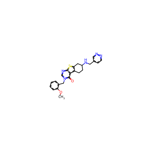 COc1ccccc1Cn1cnc2sc3c(c2c1=O)CCC(NCc1ccnnc1)C3